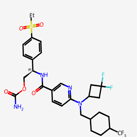 CCS(=O)(=O)c1ccc([C@H](COC(N)=O)NC(=O)c2ccc(N(CC3CCC(C(F)(F)F)CC3)C3CC(F)(F)C3)nc2)cc1